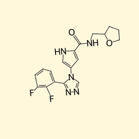 O=C(NCC1CCCO1)c1cc(-n2cnnc2-c2cccc(F)c2F)c[nH]1